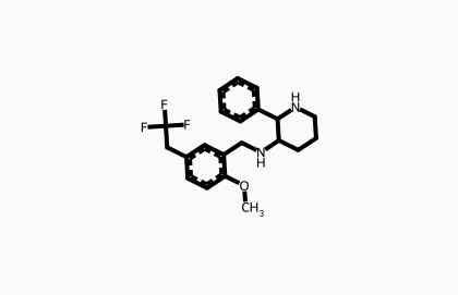 COc1ccc(CC(F)(F)F)cc1CNC1CCCNC1c1ccccc1